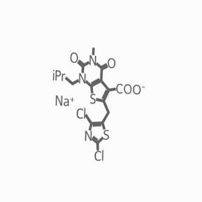 CC(C)Cn1c(=O)n(C)c(=O)c2c(C(=O)[O-])c(Cc3sc(Cl)nc3Cl)sc21.[Na+]